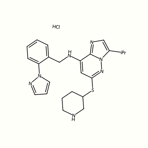 CC(C)c1cnc2c(NCc3ccccc3-n3cccn3)cc(SC3CCCNC3)nn12.Cl